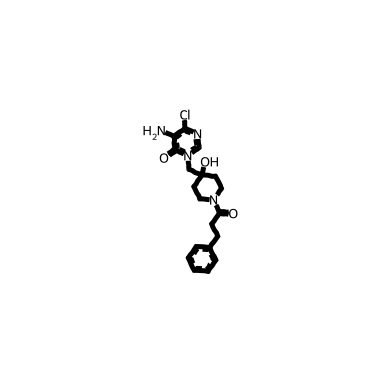 Nc1c(Cl)ncn(CC2(O)CCN(C(=O)CCc3ccccc3)CC2)c1=O